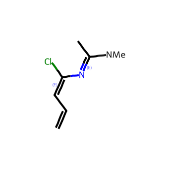 C=C/C=C(Cl)\N=C(/C)NC